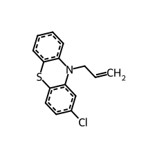 C=CCN1c2ccccc2Sc2ccc(Cl)cc21